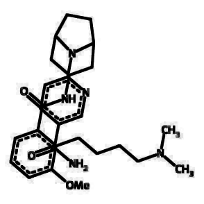 COc1cccc(C(=O)NC2CC3CCC(C2)N3c2ccc(C(N)=O)cn2)c1CCCCN(C)C